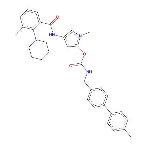 Cc1ccc(-c2ccc(CNC(=O)Oc3cc(NC(=O)c4cccc(C)c4N4CCCCC4)cn3C)cc2)cc1